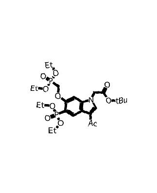 CCOP(=O)(COc1cc2c(cc1P(=O)(OCC)OCC)c(C(C)=O)cn2CC(=O)OC(C)(C)C)OCC